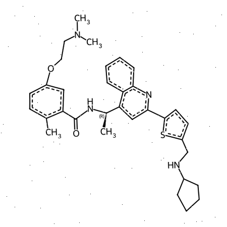 Cc1ccc(OCCN(C)C)cc1C(=O)N[C@H](C)c1cc(-c2ccc(CNC3CCCC3)s2)nc2ccccc12